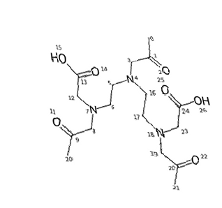 CC(=O)CN(CCN(CC(C)=O)CC(=O)O)CCN(CC(C)=O)CC(=O)O